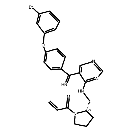 C=CC(=O)N1CCC[C@H]1CNc1ncncc1C(=N)c1ccc(Oc2cccc(CC)c2)cc1